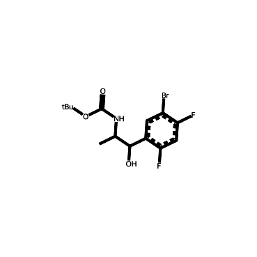 CC(NC(=O)OC(C)(C)C)C(O)c1cc(Br)c(F)cc1F